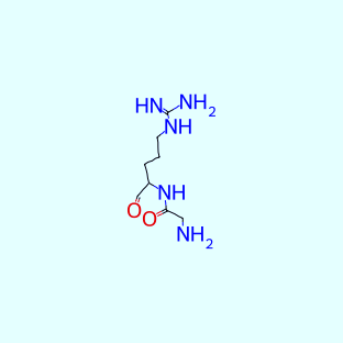 N=C(N)NCCCC(C=O)NC(=O)CN